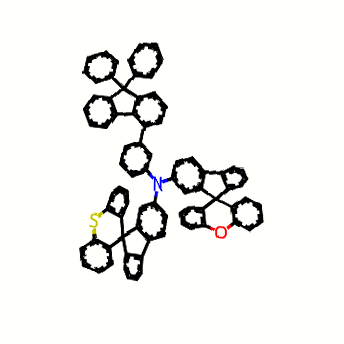 c1ccc(C2(c3ccccc3)c3ccccc3-c3c(-c4cccc(N(c5ccc6c(c5)C5(c7ccccc7Oc7ccccc75)c5ccccc5-6)c5ccc6c(c5)C5(c7ccccc7Sc7ccccc75)c5ccccc5-6)c4)cccc32)cc1